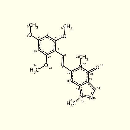 COc1cc(OC)c(C=Cc2nc3c(cnn3C)c(=O)n2C)c(OC)c1